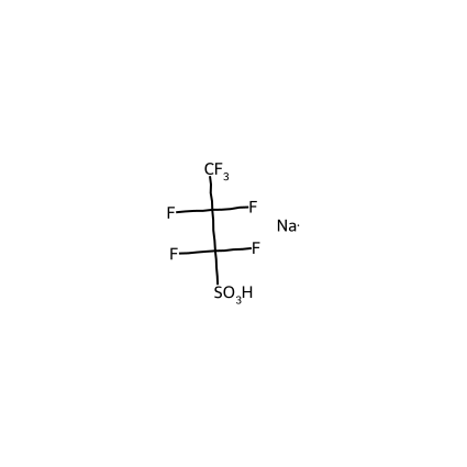 O=S(=O)(O)C(F)(F)C(F)(F)C(F)(F)F.[Na]